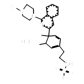 CCN1CCN(c2nc(C3(Cl)C=CC(CCNS(=O)(=O)CC)=CC3C)cc3ccccc23)CC1.Cl